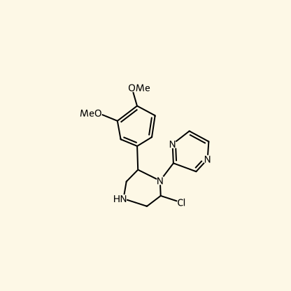 COc1ccc(C2CNCC(Cl)N2c2cnccn2)cc1OC